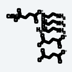 NCCN.NCCN.NCCN.O=C([O-])CCC(=O)[O-].O=C([O-])CCC(=O)[O-].O=C([O-])CCC(=O)[O-].[Co+3].[Co+3]